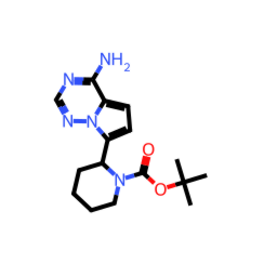 CC(C)(C)OC(=O)N1CCCCC1c1ccc2c(N)ncnn12